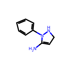 NC1=CCNN1c1ccccc1